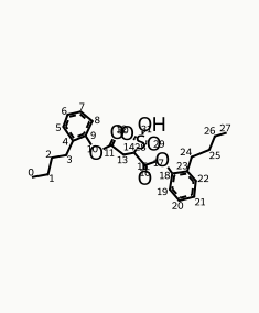 CCCCc1ccccc1OC(=O)CC(C(=O)Oc1ccccc1CCCC)S(=O)(=O)O